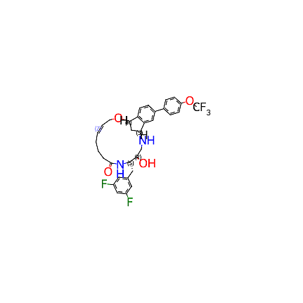 O=C1CCC/C=C\CO[C@@H]2C[C@H](NC[C@@H](O)[C@H](Cc3cc(F)cc(F)c3)N1)c1cc(-c3ccc(OC(F)(F)F)cc3)ccc12